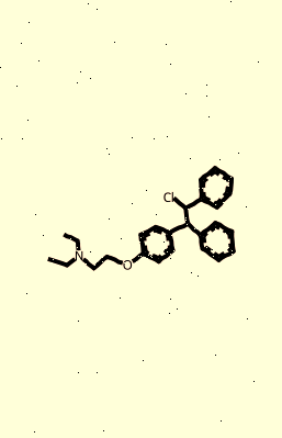 CCN(CC)CCOc1ccc(C(c2ccccc2)C(Cl)c2ccccc2)cc1